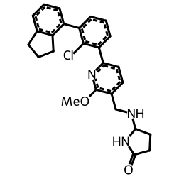 COc1nc(-c2cccc(-c3cccc4c3CCC4)c2Cl)ccc1CNC1CCC(=O)N1